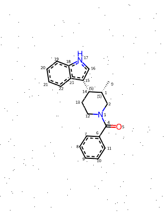 C[C@@H]1CN(C(=O)c2ccccc2)CC[C@@H]1c1c[nH]c2ccccc12